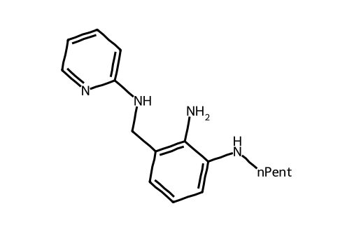 CCCCCNc1cccc(CNc2ccccn2)c1N